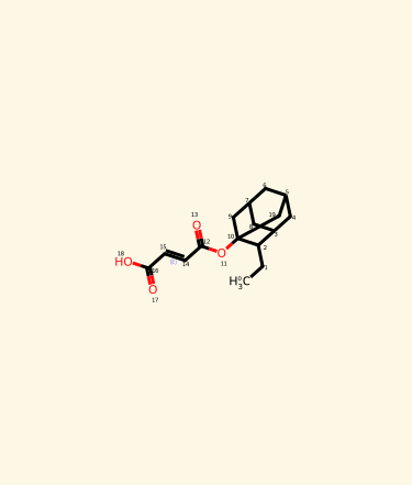 CCC1C2CC3CC(C2)CC1(OC(=O)/C=C/C(=O)O)C3